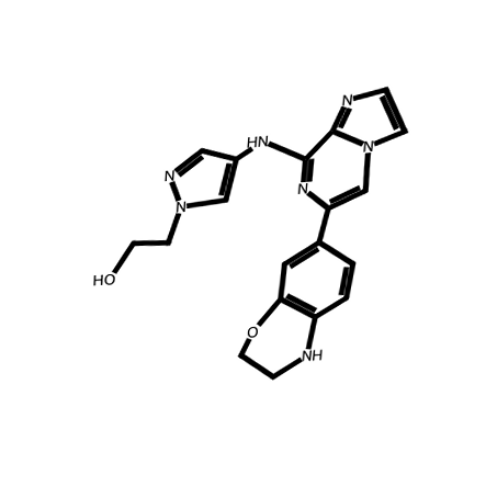 OCCn1cc(Nc2nc(-c3ccc4c(c3)OCCN4)cn3ccnc23)cn1